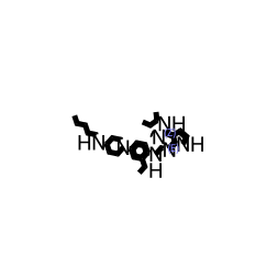 C=N/C(NC(C)CC)=C1/C=CN/C1=N/CNc1ccc(N2CCC(NCCCCC)CC2)cc1CC